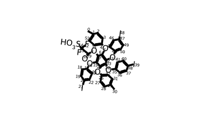 Cc1ccc(Oc2c(OC(=O)C(F)(F)S(=O)(=O)O)c(Oc3ccc(I)cc3)c(Oc3ccc(C)cc3)c(Oc3ccc(I)cc3)c2Oc2ccc(I)cc2)cc1